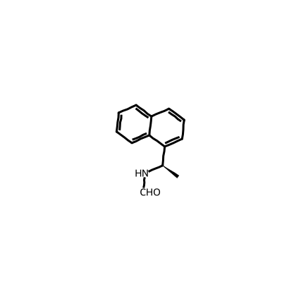 C[C@@H](NC=O)c1cccc2ccccc12